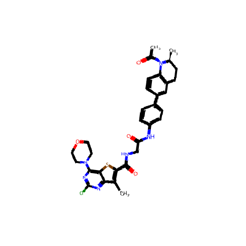 CC(=O)N1c2ccc(-c3ccc(NC(=O)CNC(=O)c4sc5c(N6CCOCC6)nc(Cl)nc5c4C)cc3)cc2CC[C@@H]1C